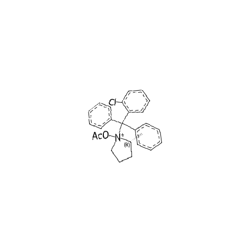 CC(=O)O[N+]1(C(c2ccccc2)(c2ccccc2)c2ccccc2Cl)CCC[C@H]1C